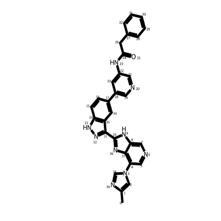 Cc1cn(-c2cncc3[nH]c(-c4n[nH]c5ccc(-c6cncc(NC(=O)Cc7ccccc7)c6)cc45)nc23)cn1